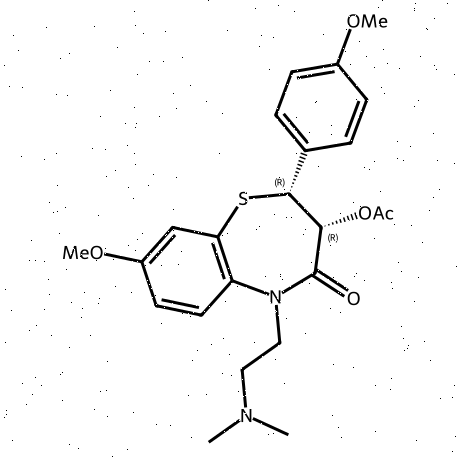 COc1ccc([C@H]2Sc3cc(OC)ccc3N(CCN(C)C)C(=O)[C@H]2OC(C)=O)cc1